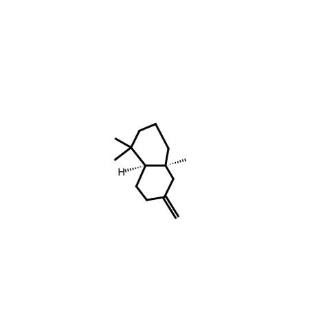 C=C1CC[C@H]2C(C)(C)CCC[C@@]2(C)C1